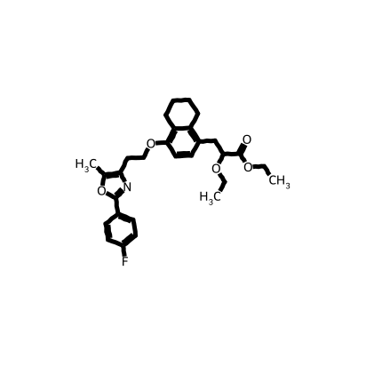 CCOC(=O)C(Cc1ccc(OCCc2nc(-c3ccc(F)cc3)oc2C)c2c1CCCC2)OCC